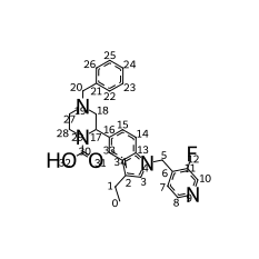 CCc1cn(Cc2ccncc2F)c2ccc(C3CN(Cc4ccccc4)CCN3C(=O)O)cc12